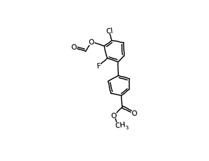 COC(=O)c1ccc(-c2ccc(Cl)c(OC=O)c2F)cc1